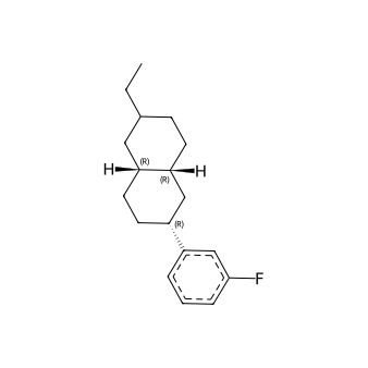 CCC1CC[C@@H]2C[C@H](c3cccc(F)c3)CC[C@@H]2C1